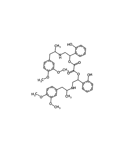 COc1ccc(CC(C)NCC(OC(=O)C(=O)OC(CNC(C)Cc2ccc(OC)c(OC)c2)c2ccccc2O)c2ccccc2O)cc1OC